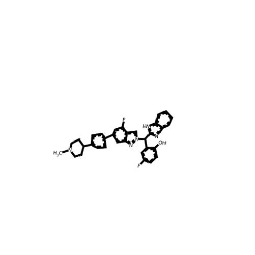 CN1CCC(c2ccc(-c3cc(F)c4cn(C(c5nc6ccccc6[nH]5)c5cc(F)ccc5O)nc4c3)cc2)CC1